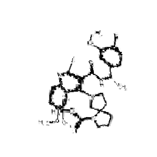 COc1ccc2nc(Cl)c(C(=O)N[C@@H](C)c3ccc(F)c(OC)c3)c(N3CCC4(CCCN4C(=O)OC(C)(C)C)C3)c2c1